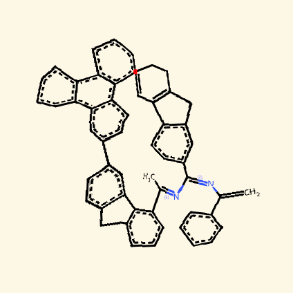 C=C(/N=C(\N=C(/C)c1cccc2c1-c1cc(-c3ccc4c5ccccc5c5ccccc5c4c3)ccc1C2)c1ccc2c(c1)CC1=C2C=CCC1)c1ccccc1